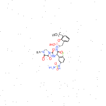 CCN1CCN(C(=O)NC(C(=O)N[C@H]2Cc3cccc(C(=O)O)c3OB2O)c2cc(NS(N)(=O)=O)ccc2F)C(=O)C1=O